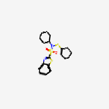 O=S(=O)(c1nc2ccccc2s1)N(SC1CCCCC1)C1CCCCC1